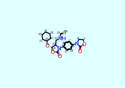 O=C1OCCN1c1ccc(N2C(=O)O[C@H](OC3CCCCC3)C2CNC=S)cc1